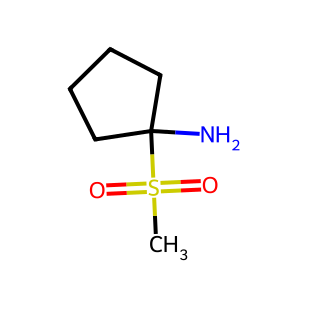 CS(=O)(=O)C1(N)CCCC1